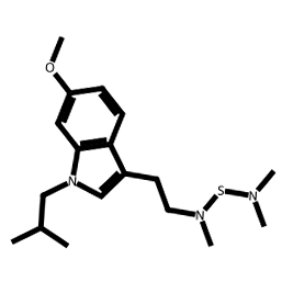 COc1ccc2c(CCN(C)SN(C)C)cn(CC(C)C)c2c1